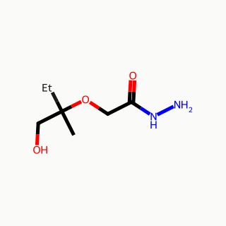 CCC(C)(CO)OCC(=O)NN